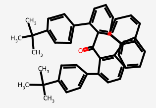 CC(C)(C)c1ccc(-c2cccc(-c3ccccc3)c2C(=O)c2c(-c3ccccc3)cccc2-c2ccc(C(C)(C)C)cc2)cc1